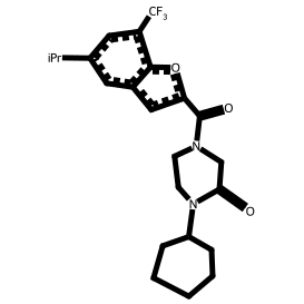 CC(C)c1cc(C(F)(F)F)c2oc(C(=O)N3CCN(C4CCCCC4)C(=O)C3)cc2c1